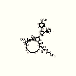 C=CCNC(=O)N[C@H]1CCCCC/C=C\[C@@H]2C[C@@]2(C(=O)O)NC(=O)[C@@H]2C[C@@H](n3nc(-c4ccc(OC)cc4)c(-c4nccs4)n3)CN2C1=O